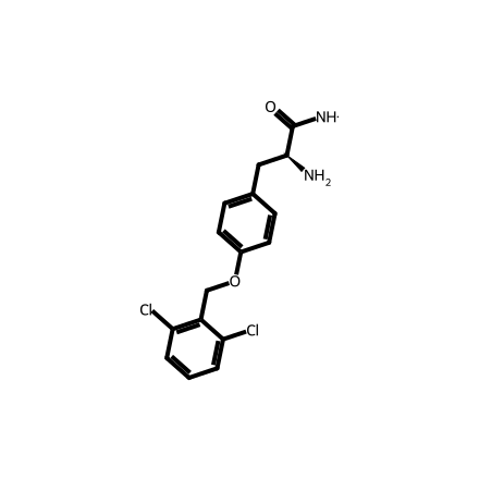 [NH]C(=O)[C@@H](N)Cc1ccc(OCc2c(Cl)cccc2Cl)cc1